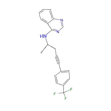 CC(CC#Cc1ccc(C(F)(F)F)cc1)Nc1ncnc2ccccc12